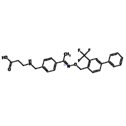 C/C(=N\OCc1ccc(-c2ccccc2)cc1C(F)(F)F)c1ccc(CNCCC(=O)O)cc1